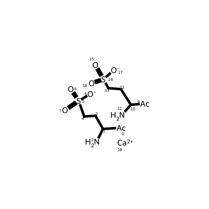 CC(=O)C(N)CCS(=O)(=O)[O-].CC(=O)C(N)CCS(=O)(=O)[O-].[Ca+2]